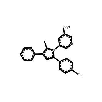 Cc1c(-c2ccccc2)cc(-c2ccc(C(F)(F)F)cc2)n1-c1cccc(C(=O)O)c1